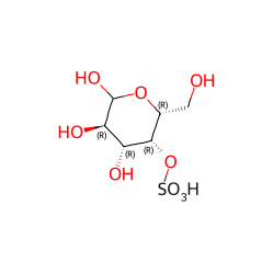 O=S(=O)(O)O[C@@H]1[C@H](O)[C@@H](O)C(O)O[C@@H]1CO